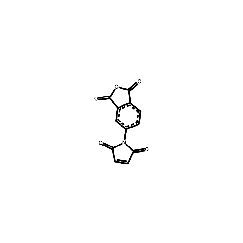 O=C1OC(=O)c2cc(N3C(=O)C=CC3=O)ccc21